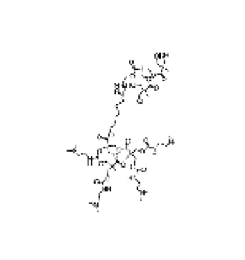 CN(C)CCNC(=O)OCC(C)(COC(=O)NCCN(C)C)C(=O)OCC(C)(COC(=O)C(C)(COC(=O)NCCN(C)C)COC(=O)NCCN(C)C)C(=O)OCCCCCCn1cc(COC(=O)C(C)(COC(=O)C(C)(CO)CO)COC(=O)C(C)(CO)CO)nn1